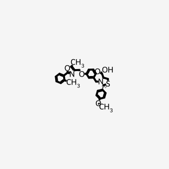 COc1ccc([C@H]2SCC(C(=O)O)N2Cc2cccc(OCc3nc(-c4ccccc4C)oc3C)c2)cc1